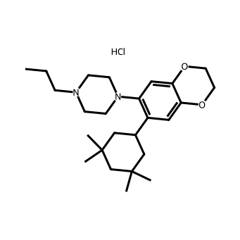 CCCN1CCN(c2cc3c(cc2C2CC(C)(C)CC(C)(C)C2)OCCO3)CC1.Cl